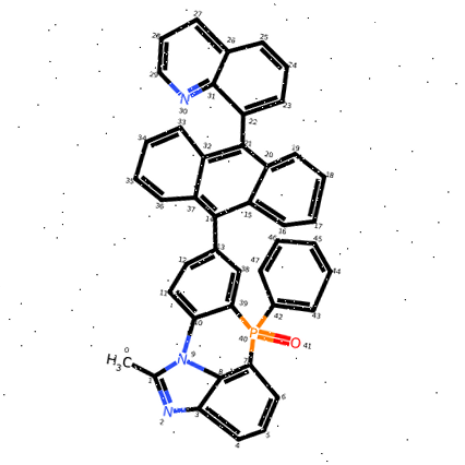 Cc1nc2cccc3c2n1-c1ccc(-c2c4ccccc4c(-c4cccc5cccnc45)c4ccccc24)cc1P3(=O)c1ccccc1